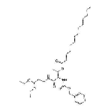 CCCCCCCCCCCCCC(=O)OC(C)C(NC(=O)OCc1ccccc1)C(=O)NCCC(OCC)OCC